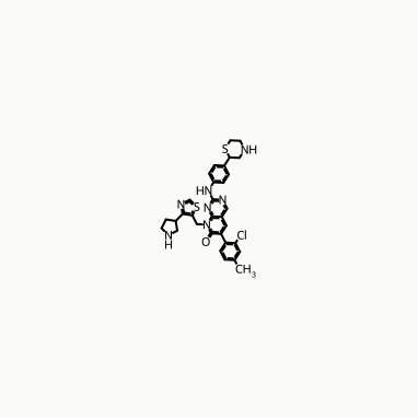 Cc1ccc(-c2cc3cnc(Nc4ccc(C5CNCCS5)cc4)nc3n(Cc3scnc3C3CCNC3)c2=O)c(Cl)c1